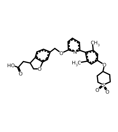 Cc1cc(OC2CCS(=O)(=O)CC2)cc(C)c1-c1cccc(OCc2ccc3c(c2)OCC3CC(=O)O)n1